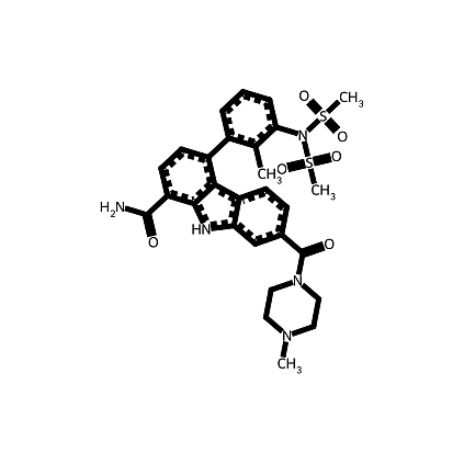 Cc1c(-c2ccc(C(N)=O)c3[nH]c4cc(C(=O)N5CCN(C)CC5)ccc4c23)cccc1N(S(C)(=O)=O)S(C)(=O)=O